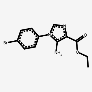 CCOC(=O)c1ncn(-c2ccc(Br)cc2)c1N